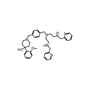 COc1ccccc1C1(O)CCN(Cc2ccc(CN(CCNCc3ccccn3)CCNCc3ccccn3)cc2)CC1